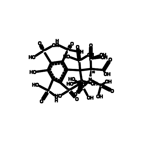 O=C(O)[C@@](N(P(=O)(O)O)P(=O)(O)O)(C(c1c(P(=O)(O)O)c(P(=O)(O)O)c(O)c(P(=O)(O)O)c1P(=O)(O)O)(P(=O)(O)O)P(=O)(O)O)P(=O)(O)O